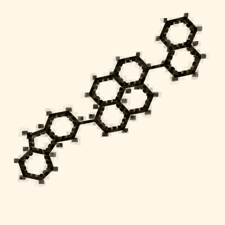 c1ccc2c(-c3ccc4ccc5c(-c6ccc7sc8ccccc8c7c6)ccc6ccc3c4c65)cccc2c1